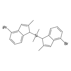 CC1=Cc2c(Br)cccc2C1[Si](C)(C)C1C(C)=Cc2c(C(C)C)cccc21